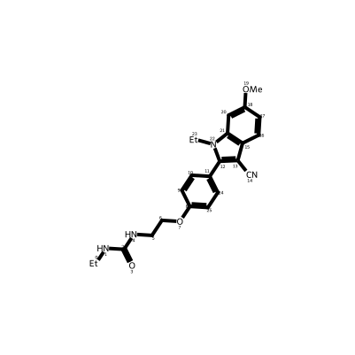 CCNC(=O)NCCOc1ccc(-c2c(C#N)c3ccc(OC)cc3n2CC)cc1